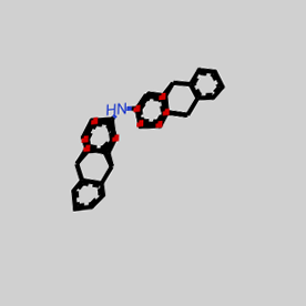 c1ccc2c(c1)C1c3ccccc3C2c2cc(Nc3ccc4c(c3)C3c5ccccc5C4c4ccccc43)ccc21